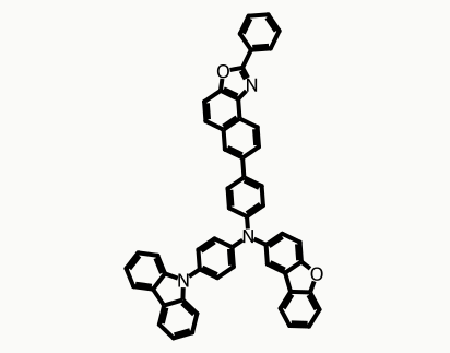 c1ccc(-c2nc3c(ccc4cc(-c5ccc(N(c6ccc(-n7c8ccccc8c8ccccc87)cc6)c6ccc7oc8ccccc8c7c6)cc5)ccc43)o2)cc1